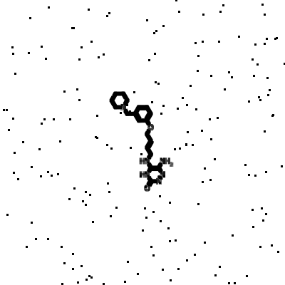 Nc1nnc(=O)[nH]c1NC/C=C/COc1cccc(CN2CCCCC2)c1